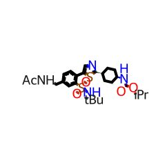 CC(=O)NCc1ccc(-c2cnc([C@H]3CC[C@H](NC(=O)OC(C)C)CC3)s2)c(S(=O)(=O)NC(C)(C)C)c1